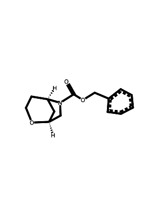 O=C(OCc1ccccc1)N1C[C@@H]2C[C@H]1CCO2